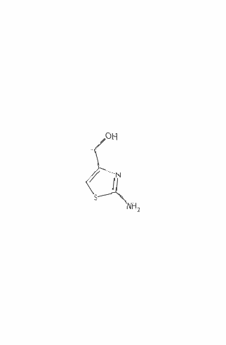 Nc1nc([CH]O)cs1